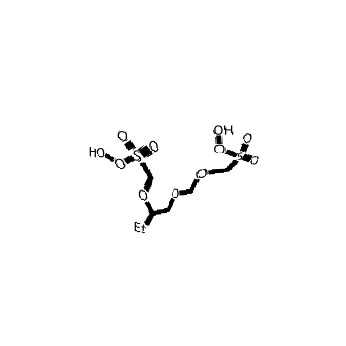 CCC(COCOCS(=O)(=O)OO)OCS(=O)(=O)OO